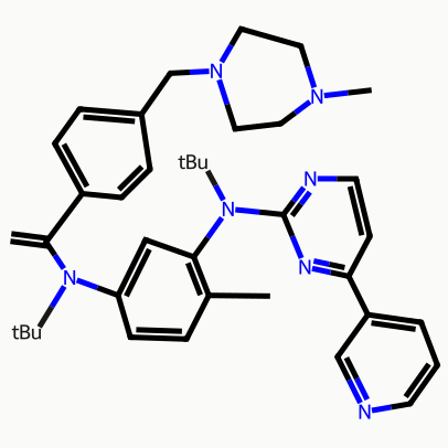 C=C(c1ccc(CN2CCN(C)CC2)cc1)N(c1ccc(C)c(N(c2nccc(-c3cccnc3)n2)C(C)(C)C)c1)C(C)(C)C